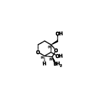 B[C@@H]1O[C@@]2(CO)CCO[C@H]1C2O